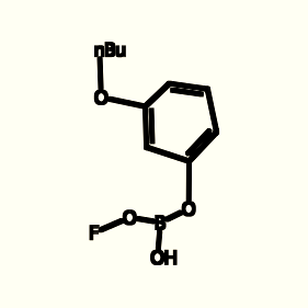 CCCCOc1cccc(OB(O)OF)c1